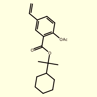 C=Cc1ccc(OC(C)=O)c(C(=O)OC(C)(C)C2CCCCC2)c1